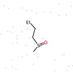 CCCC[Si](C)=O